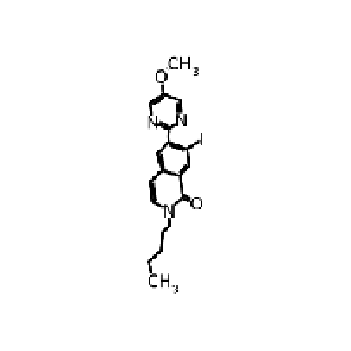 CCCCCn1ccc2cc(-c3ncc(OC)cn3)c(I)cc2c1=O